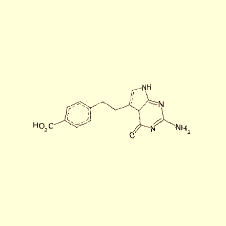 NC1=NC(=O)C2C(CCc3ccc(C(=O)O)cc3)=CNC2=N1